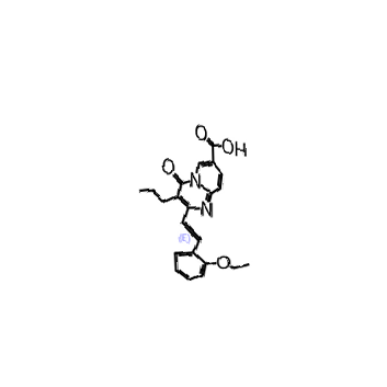 CCCc1c(/C=C/c2ccccc2OCC)nc2ccc(C(=O)O)cn2c1=O